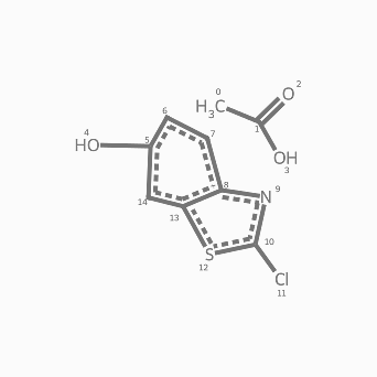 CC(=O)O.Oc1ccc2nc(Cl)sc2c1